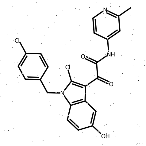 Cc1cc(NC(=O)C(=O)c2c(Cl)n(Cc3ccc(Cl)cc3)c3ccc(O)cc23)ccn1